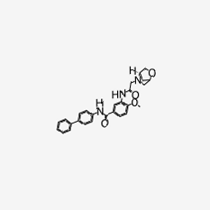 COc1ccc(C(=O)Nc2ccc(-c3ccccc3)cc2)cc1NC(=O)CN1CC2C[C@@H]1CO2